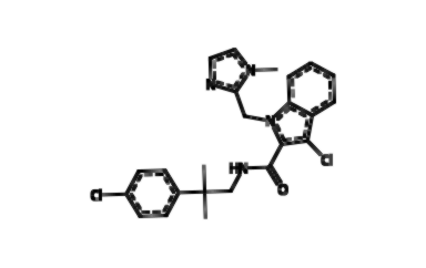 Cn1ccnc1Cn1c(C(=O)NCC(C)(C)c2ccc(Cl)cc2)c(Cl)c2ccccc21